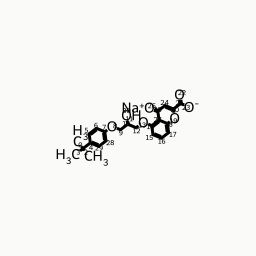 CC(C)(C)c1ccc(OCC(O)COc2cccc3oc(C(=O)[O-])cc(=O)c23)cc1.[Na+]